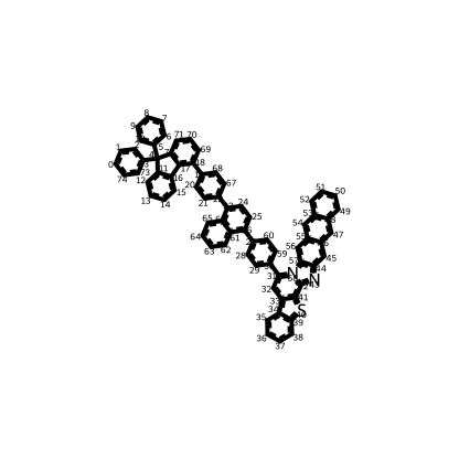 c1ccc(C2(c3ccccc3)c3ccccc3-c3c(-c4ccc(-c5ccc(-c6ccc(-c7cc8c9ccccc9sc8c8nc9cc%10cc%11ccccc%11cc%10cc9n78)cc6)c6ccccc56)cc4)cccc32)cc1